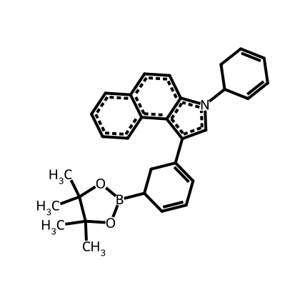 CC1(C)OB(C2C=CC=C(c3cn(C4C=CC=CC4)c4ccc5ccccc5c34)C2)OC1(C)C